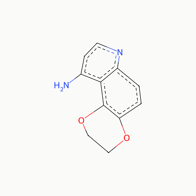 Nc1ccnc2ccc3c(c12)OCCO3